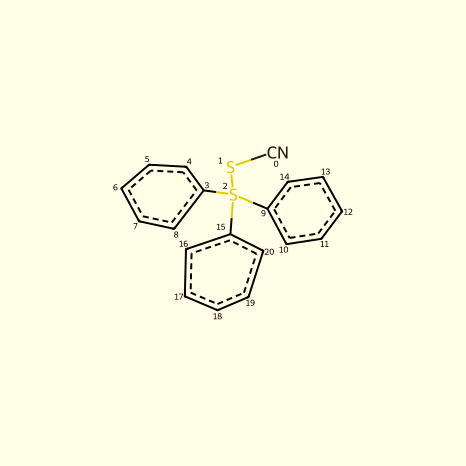 N#CSS(c1ccccc1)(c1ccccc1)c1ccccc1